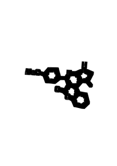 COc1ccc(-c2nc3[nH]cc(C)c3c3c2c(=O)oc2ccccc23)cc1